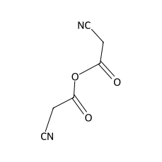 N#CCC(=O)OC(=O)CC#N